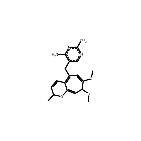 COC1=CC(Cc2cnc(N)nc2N)=C2C=CC(C)OC2=CC1OC